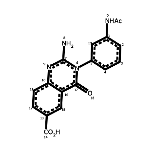 CC(=O)Nc1cccc(-n2c(N)nc3ccc(C(=O)O)cc3c2=O)c1